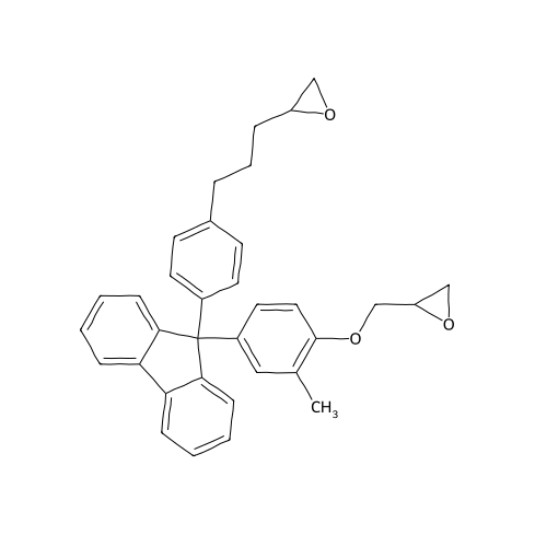 Cc1cc(C2(c3ccc(CCCC4CO4)cc3)c3ccccc3-c3ccccc32)ccc1OCC1CO1